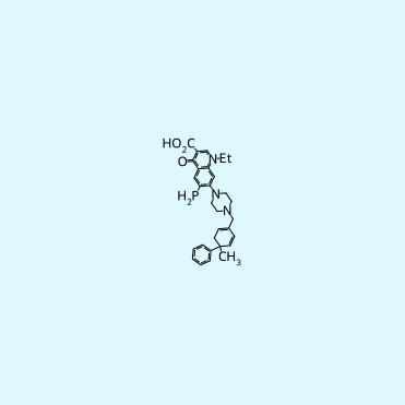 CCn1cc(C(=O)O)c(=O)c2cc(P)c(N3CCN(CC4=CCC(C)(c5ccccc5)C=C4)CC3)cc21